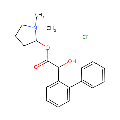 C[N+]1(C)CCCC1OC(=O)C(O)c1ccccc1-c1ccccc1.[Cl-]